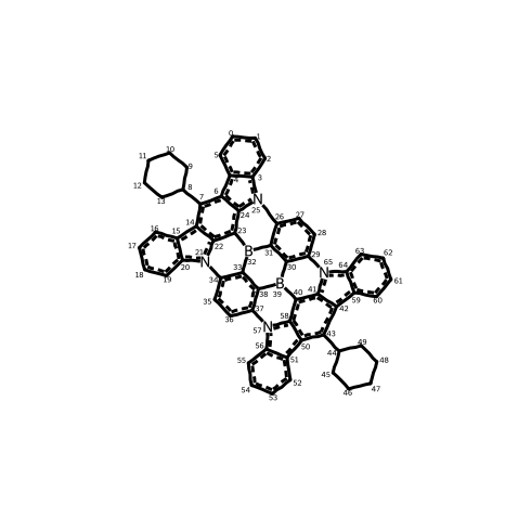 c1ccc2c(c1)c1c(C3CCCCC3)c3c4ccccc4n4c3c3c1n2-c1ccc2c5c1B3c1c-4ccc3c1B5c1c4c(c(C5CCCCC5)c5c6ccccc6n-3c15)c1ccccc1n4-2